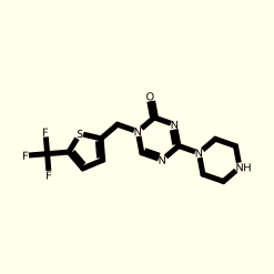 O=c1nc(N2CCNCC2)ncn1Cc1ccc(C(F)(F)F)s1